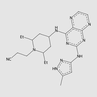 CCC1CC(Nc2nc(Nc3cc(C)[nH]n3)nc3nccnc23)CC(CC)N1CCC#N